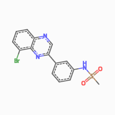 CS(=O)(=O)Nc1cccc(-c2cnc3cccc(Br)c3n2)c1